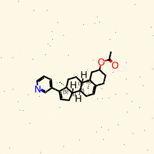 CC(=O)OC1CCC2=CC[C@@H]3[C@H](CC[C@]4(C)C(c5cccnc5)=CC[C@@H]34)[C@@]2(C)C1